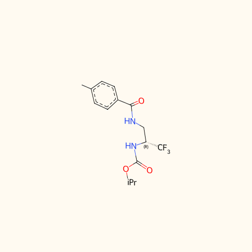 Cc1ccc(C(=O)NC[C@@H](NC(=O)OC(C)C)C(F)(F)F)cc1